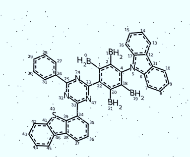 Bc1c(B)c(-n2c3ccccc3c3ccccc32)c(B)c(B)c1-c1nc(-c2ccccc2)nc(-c2cccc3c2sc2ccccc23)n1